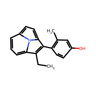 CCc1c(-c2ccc(O)cc2C)c2ccc3cccc1n32